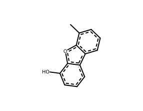 Cc1cccc2c1oc1c(O)cccc12